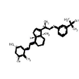 C=C1/C(=C/C=C2\CCC[C@]3(C)C([C@@H](C)CSc4cccc(C(C)(C)O)c4)=CC[C@@H]23)C[C@@H](O)C[C@@H]1O